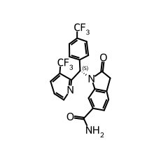 NC(=O)c1ccc2c(c1)N([C@@H](c1ccc(C(F)(F)F)cc1)c1ncccc1C(F)(F)F)C(=O)C2